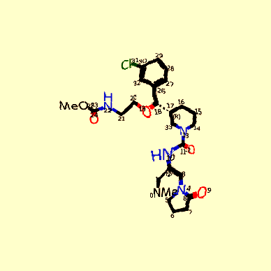 CNC[C@H](CN1CCCC1=O)NC(=O)N1CCC[C@@H](C(OCCNC(=O)OC)c2cccc(Cl)c2)C1